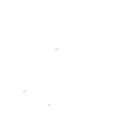 CC(C)COc1cc(-c2oc(-c3ccc(F)cc3)nc2CC(=O)O)ccc1O